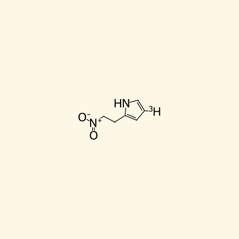 [3H]c1c[nH]c(CC[N+](=O)[O-])c1